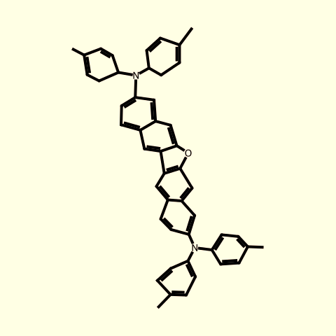 CC1=CCC(N(c2ccc3cc4c(cc3c2)oc2cc3cc(N(c5ccc(C)cc5)c5ccc(C)cc5)ccc3cc24)C2C=CC(C)=CC2)C=C1